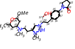 CO[C@H]1C[C@@H](N(C)CCC2=CN([C@H](CO)Cc3ccc(N4CCCC4=O)cc3)NN2C)C[C@@H](C)O1